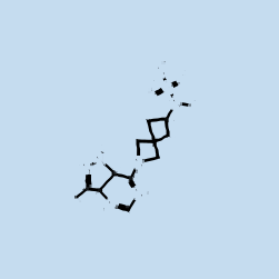 CN1N=C(Cl)C2N=CN=C(N3CC4(CC(N(C)S(N)(=O)=O)C4)C3)C21